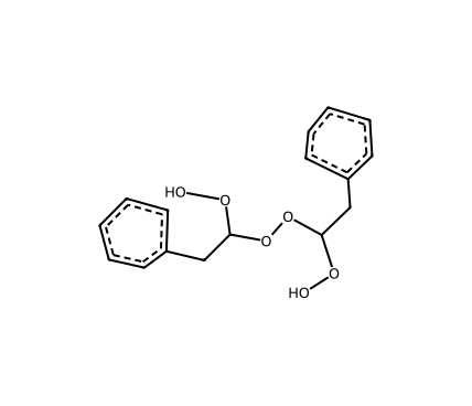 OOC(Cc1ccccc1)OOC(Cc1ccccc1)OO